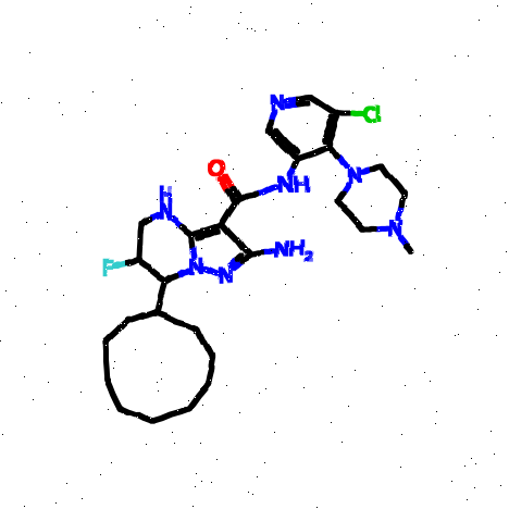 CN1CCN(c2c(Cl)cncc2NC(=O)c2c(N)nn3c2NCC(F)C3C2CCCCCCCCC2)CC1